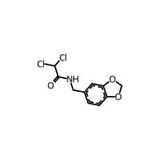 O=C(NCc1ccc2c(c1)OCO2)C(Cl)Cl